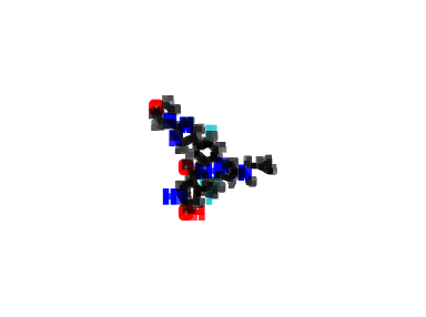 CN(CC1CC1)[C@@H]1CCN(c2cc(F)c(-c3cnc(N4CCOCC4)nc3)cc2NC(=O)C2=CNC(O)C=C2C(F)(F)F)C1